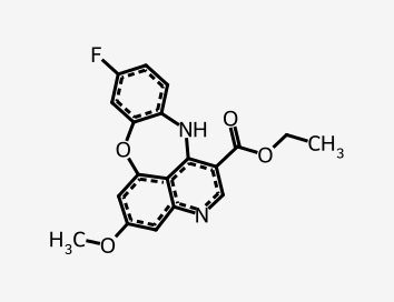 CCOC(=O)c1cnc2cc(OC)cc3c2c1Nc1ccc(F)cc1O3